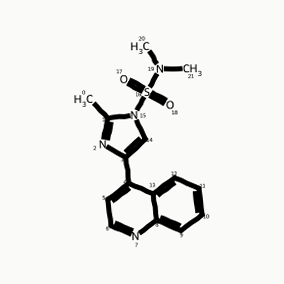 Cc1nc(-c2ccnc3ccccc23)cn1S(=O)(=O)N(C)C